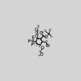 COCOc1cc(C(F)(F)F)c(OCOC)c(C(=O)OC(C)(C)C)c1CBr